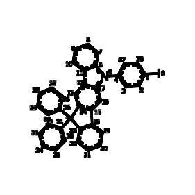 Ic1ccc(-n2c3ccccc3c3cc4c(cc32)-c2ccccc2C4(c2ccccc2)c2ccccc2)cc1